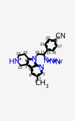 Cc1cnc2c(c1)c1c(n2CC(N=[N+]=[N-])c2ccc(C#N)cc2)CCNC1